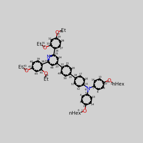 CCCCCCOc1ccc(N(c2ccc(OCCCCCC)cc2)c2ccc(-c3ccc(-c4cc(-c5ccc(OCC)cc5OCC)nc(-c5ccc(OCC)cc5OCC)c4)cc3)cc2)cc1